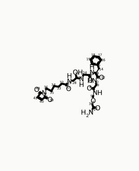 NC(=O)COCNC(=O)CNC(=O)[C@H](Cc1ccccc1)NC(=O)CNC(O)CNC(=O)CCCCCN1C(=O)C=CC1=O